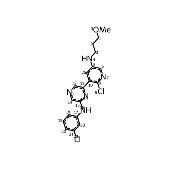 COCCCNc1cnc(Cl)c(-c2cncc(Nc3cccc(Cl)c3)n2)c1